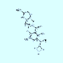 COc1ccc(CN2CCc3c(Cl)cc(C(O)C4CSC4)c(Cl)c3C2=O)c(OC)c1